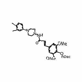 CCCCCCCCCCOc1c(OC)cc(C=CC(=O)NN2CCN(c3ccc(C)c(C)c3)CC2)cc1OC